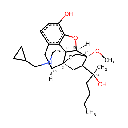 CCCC[C@](C)(O)C1C[C@@]23CC[C@@]1(OC)[C@@H]1Oc4c(O)ccc5c4[C@@]12CCN(CC1CC1)[C@@H]3C5